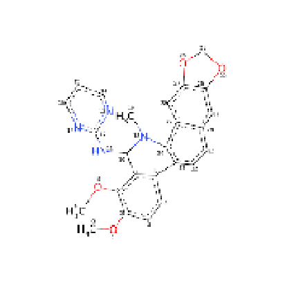 COc1ccc2c(c1OC)C(Nc1ncccn1)N(C)c1c-2ccc2cc3c(cc12)OCO3